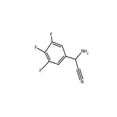 N#CC(N)c1cc(F)c(F)c(F)c1